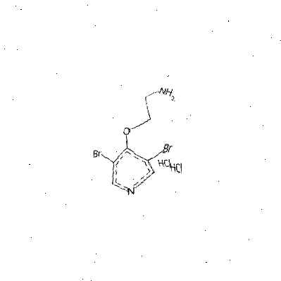 Cl.Cl.NCCOc1c(Br)cncc1Br